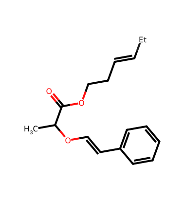 CCC=CCCOC(=O)C(C)OC=Cc1ccccc1